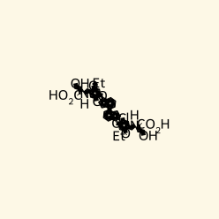 CCOc1cc(O[C@H]2CCc3c(-c4cccc5c4CC[C@@H]5Oc4cc(OCC)c(CN[C@@H](CCO)C(=O)O)cc4Cl)cccc32)c(Cl)cc1CN[C@@H](CCO)C(=O)O